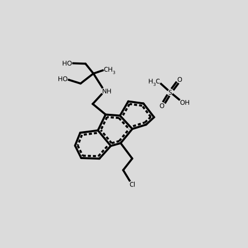 CC(CO)(CO)NCc1c2ccccc2c(CCCl)c2ccccc12.CS(=O)(=O)O